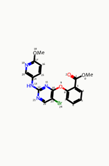 COC(=O)c1ccccc1Oc1nc(Nc2ccc(OC)nc2)ncc1Br